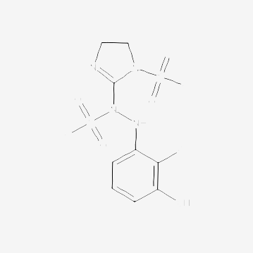 Cc1cccc(NN(C2=NCCN2S(C)(=O)=O)S(C)(=O)=O)c1C